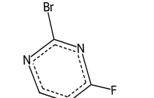 Fc1ccnc(Br)n1